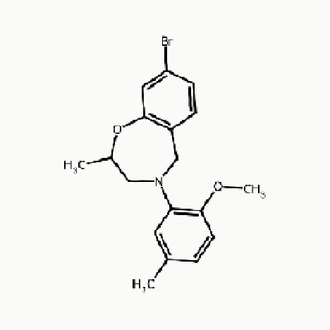 COc1ccc(C)cc1N1Cc2ccc(Br)cc2OC(C)C1